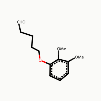 COc1cccc(OCCCC[C]=O)c1OC